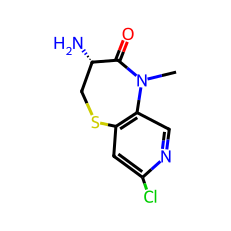 CN1C(=O)[C@@H](N)CSc2cc(Cl)ncc21